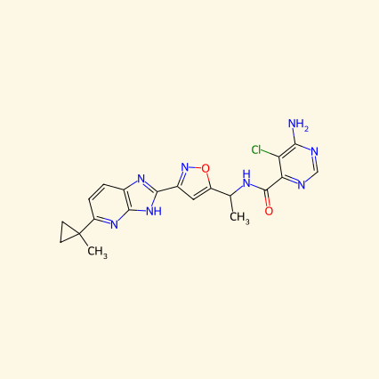 CC(NC(=O)c1ncnc(N)c1Cl)c1cc(-c2nc3ccc(C4(C)CC4)nc3[nH]2)no1